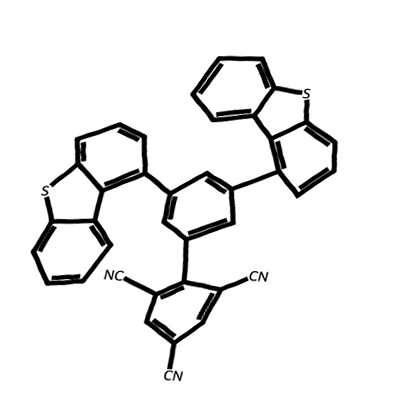 N#Cc1cc(C#N)c(-c2cc(-c3cccc4sc5ccccc5c34)cc(-c3cccc4sc5ccccc5c34)c2)c(C#N)c1